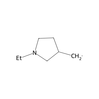 [CH2]C1CCN(CC)C1